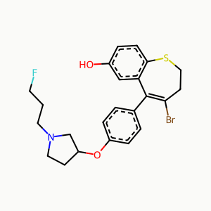 Oc1ccc2c(c1)C(c1ccc(OC3CCN(CCCF)C3)cc1)=C(Br)CCS2